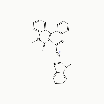 Cn1c(/C=C/C(=O)c2c(-c3ccccc3)c3ccccc3n(C)c2=O)nc2ccccc21